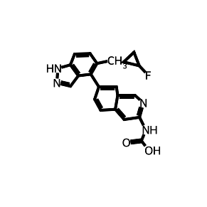 Cc1ccc2[nH]ncc2c1-c1ccc2cc(NC(=O)O)ncc2c1.FC1CC1